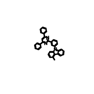 Cc1cccc2c1c1ccccc1n2-c1cccc(-c2nc(-c3ccccc3)cc(-c3ccccc3)n2)c1